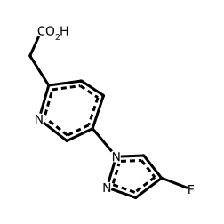 O=C(O)Cc1ccc(-n2cc(F)cn2)cn1